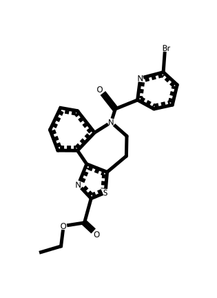 CCOC(=O)c1nc2c(s1)CCN(C(=O)c1cccc(Br)n1)c1ccccc1-2